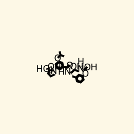 CC(C)Oc1cc(C(=O)N[C@@H](Cc2ccccc2)[C@H](O)CNC(=O)O)cc(N2CCCS2(O)O)c1